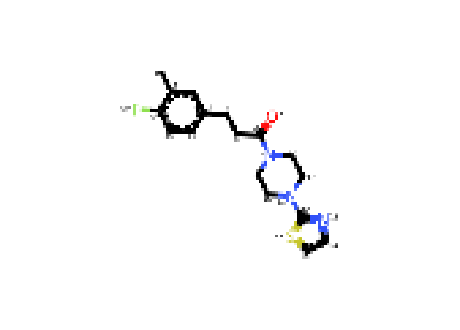 Cc1cc(CCC(=O)N2CCN(c3nccs3)CC2)ccc1F